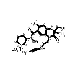 CC#CNCCN1C(=O)C(C)(CO)Oc2cc(C(F)(F)F)c(C(=O)N(C(C)C)[C@@H]3CCCN(C(=O)O)C3)cc21